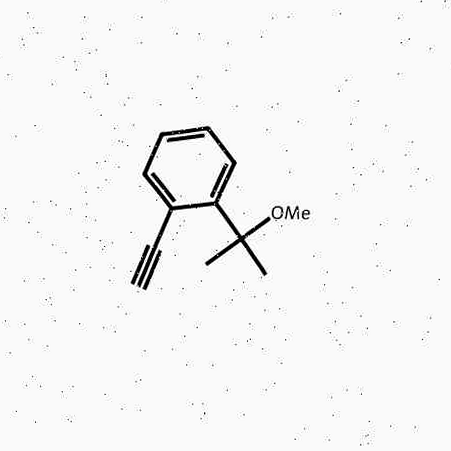 C#Cc1ccccc1C(C)(C)OC